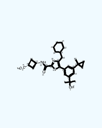 CC(C)(O)c1cc(-c2sc(C(=O)N[C@H]3C[C@@H](C(=O)O)C3)nc2CC2CCCCC2)cc(C2(C)CC2)c1